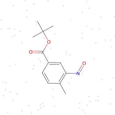 Cc1ccc(C(=O)OC(C)(C)C)cc1N=O